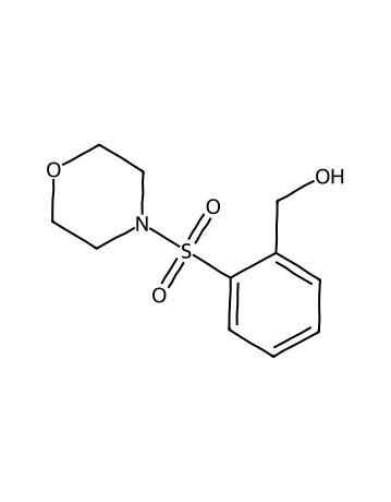 O=S(=O)(c1ccccc1CO)N1CCOCC1